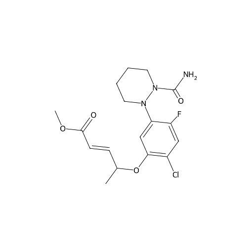 COC(=O)C=CC(C)Oc1cc(N2CCCCN2C(N)=O)c(F)cc1Cl